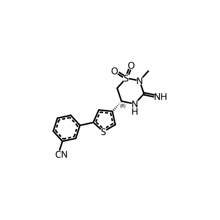 CN1C(=N)N[C@H](c2csc(-c3cccc(C#N)c3)c2)CS1(=O)=O